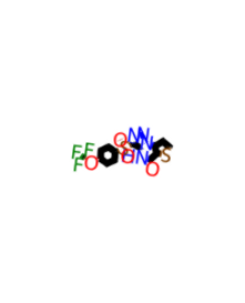 O=c1[nH]c2c(S(=O)(=O)c3ccc(OC(F)(F)F)cc3)nnn2c2ccsc12